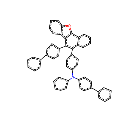 c1ccc(-c2ccc(-c3c(-c4ccc(N(c5ccccc5)c5ccc(-c6ccccc6)cc5)cc4)c4ccccc4c4oc5ccccc5c34)cc2)cc1